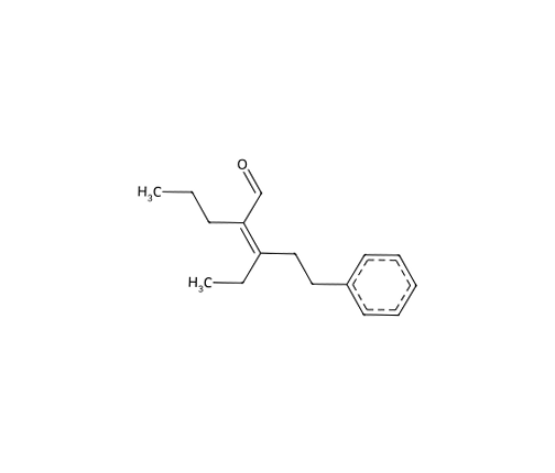 CCC/C(C=O)=C(\CC)CCc1ccccc1